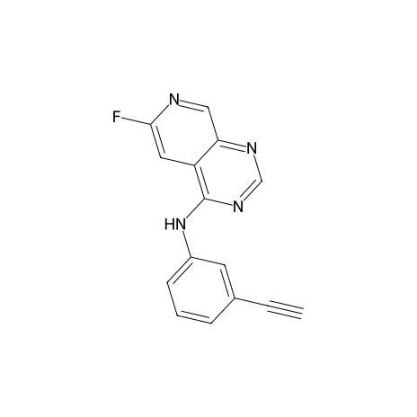 C#Cc1cccc(Nc2ncnc3cnc(F)cc23)c1